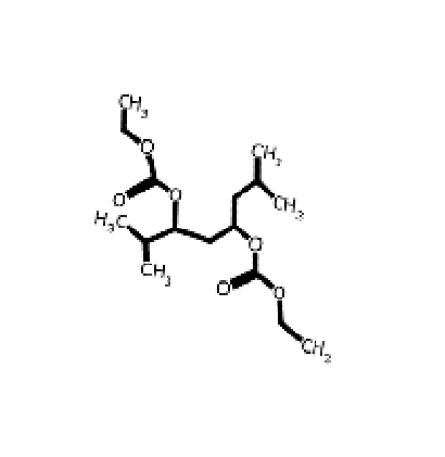 CCOC(=O)OC(CC(C)C)CC(OC(=O)OCC)C(C)C